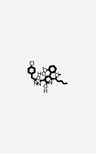 CCCCC(C)c1nc(O)c(-c2nnc(Cc3ccc(Cl)cc3)o2)c(O)c1-c1c(OC)cccc1OC